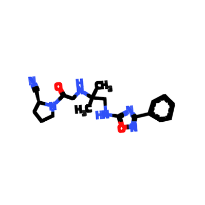 CC(C)(CNc1nc(-c2ccccc2)no1)NCC(=O)N1CCC[C@H]1C#N